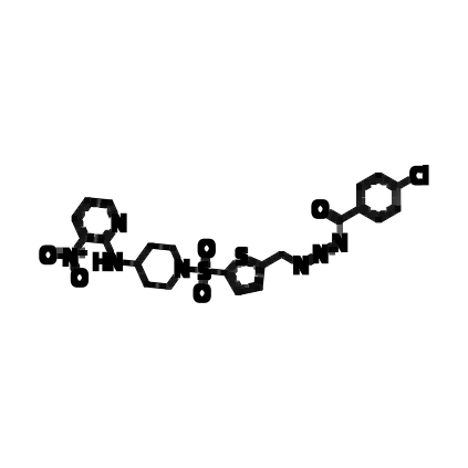 O=C(N=[N+]=NCc1ccc(S(=O)(=O)N2CCC(Nc3ncccc3[N+](=O)[O-])CC2)s1)c1ccc(Cl)cc1